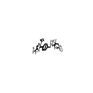 COc1cnc(Cl)nc1NCC12CCC(c3nc(C(F)(F)F)cn3C3CCC3)(CC1)OC2